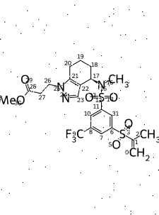 C=C(C)S(=O)(=O)c1cc(C(F)(F)F)cc(S(=O)(=O)N(C)[C@@H]2CCCc3c2cnn3CCC(=O)OC)c1